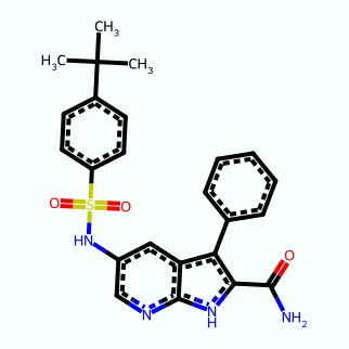 CC(C)(C)c1ccc(S(=O)(=O)Nc2cnc3[nH]c(C(N)=O)c(-c4ccccc4)c3c2)cc1